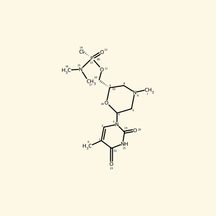 Cc1cn(C2CN(C)C[C@@H](CO[P@@](=O)(Cl)N(C)C)O2)c(=O)[nH]c1=O